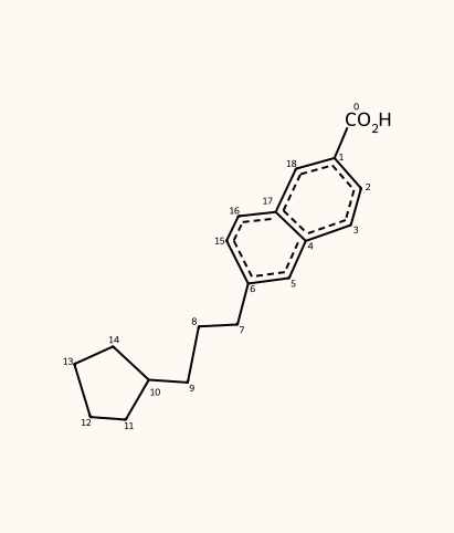 O=C(O)c1ccc2cc(CCCC3CCCC3)ccc2c1